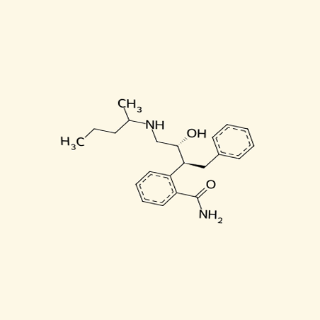 CCCC(C)NC[C@H](O)[C@@H](Cc1ccccc1)c1ccccc1C(N)=O